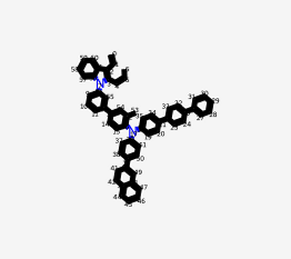 C=Cc1c(/C=C\C)n(-c2cccc(-c3ccc(N(c4ccc(-c5ccc(-c6ccccc6)cc5)cc4)c4ccc(-c5ccc6ccccc6c5)cc4)c(C)c3)c2)c2ccccc12